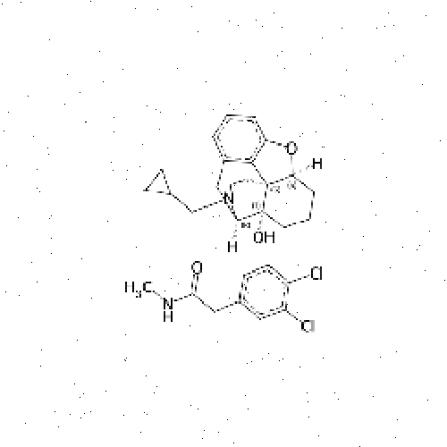 CNC(=O)Cc1ccc(Cl)c(Cl)c1.O[C@@]12CCC[C@@H]3Oc4cccc5c4[C@@]31CCN(CC1CC1)[C@@H]2C5